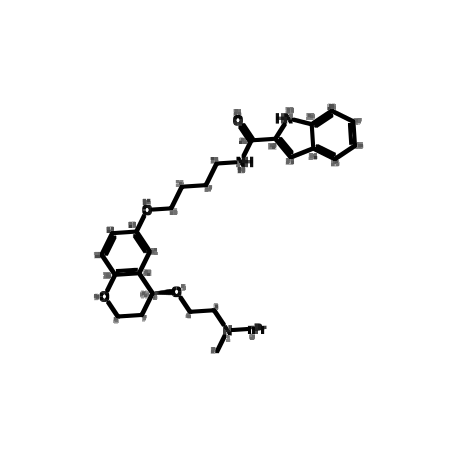 CCCN(C)CCO[C@H]1CCOc2ccc(OCCCCNC(=O)c3cc4ccccc4[nH]3)cc21